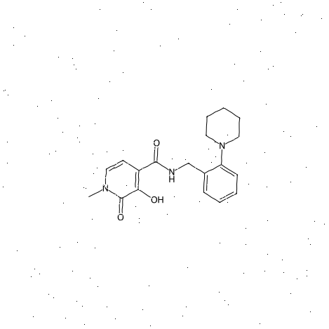 Cn1ccc(C(=O)NCc2ccccc2N2CCCCC2)c(O)c1=O